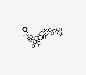 CC(C)C1=C2[C@H]3CC[C@@H]4[C@@]5(C)CC[C@H](OC(=O)CC(C)(C)C(=O)OC(C)(C)C)C(C)(C)[C@@H]5CC[C@@]4(C)[C@]3(C)CC[C@@]2(c2nnc(NCc3ccccc3)o2)CC1=O